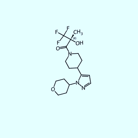 C[C@@](O)(C(=O)N1CCC(c2ccnn2C2CCOCC2)CC1)C(F)(F)F